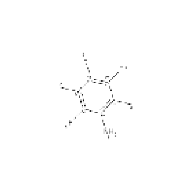 Cc1c(N)c(F)c(C)c(F)c1F